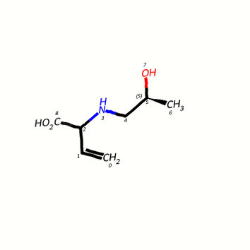 C=CC(NC[C@H](C)O)C(=O)O